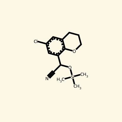 C[Si](C)(C)OC(C#N)c1cc(Cl)cc2c1OCCC2